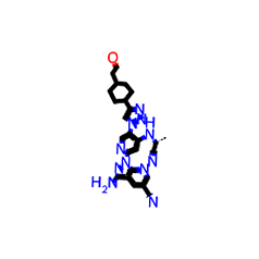 C[C@H](C#N)Nc1cc(-n2nc(N)c3cc(C#N)cnc32)ncc1-n1cc(C2CCC(CC=O)CC2)nn1